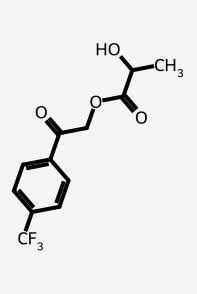 CC(O)C(=O)OCC(=O)c1ccc(C(F)(F)F)cc1